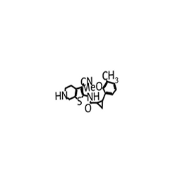 COc1c(C)cccc1C1CC1C(=O)Nc1sc2c(c1C#N)CCNC2